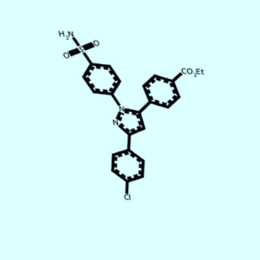 CCOC(=O)c1ccc(-c2cc(-c3ccc(Cl)cc3)nn2-c2ccc(S(N)(=O)=O)cc2)cc1